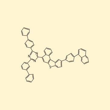 c1ccc(-c2ccc(-c3nc(-c4cccc(-c5ccccc5)c4)nc(-c4cc5sc6ccc(-c7ccc(-c8cccc9ccccc89)cc7)cc6c5c5ccccc45)n3)cc2)cc1